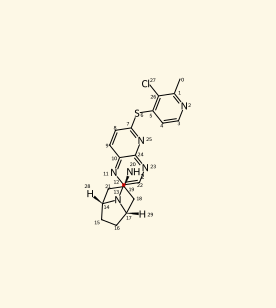 Cc1nccc(Sc2ccc3nc(N4[C@@H]5CC[C@H]4C[C@H](N)C5)cnc3n2)c1Cl